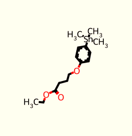 CCOC(=O)CCCOc1cc[c]([Sn]([CH3])([CH3])[CH3])cc1